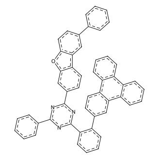 c1ccc(-c2ccc3oc4cc(-c5nc(-c6ccccc6)nc(-c6ccccc6-c6ccc7c8ccccc8c8ccccc8c7c6)n5)ccc4c3c2)cc1